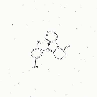 N#Cc1ccc(C(F)(F)F)c(-n2c3c(c4ccccc42)C(=O)CCC3)c1